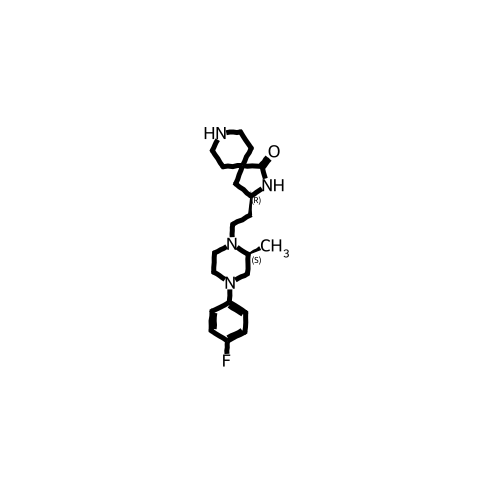 C[C@H]1CN(c2ccc(F)cc2)CCN1CC[C@H]1CC2(CCNCC2)C(=O)N1